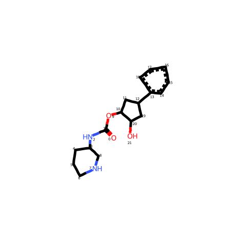 O=C(NC1CCCNC1)OC1CC(c2ccccc2)CC1O